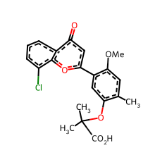 COc1cc(C)c(OC(C)(C)C(=O)O)cc1-c1cc(=O)c2cccc(Cl)c2o1